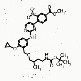 COC(=O)c1ccc(-c2ccnc(Nc3ccc(OC4CC4)c(COCC(C)CCNC(=O)OC(C)(C)C)c3)n2)c([N+](=O)[O-])c1